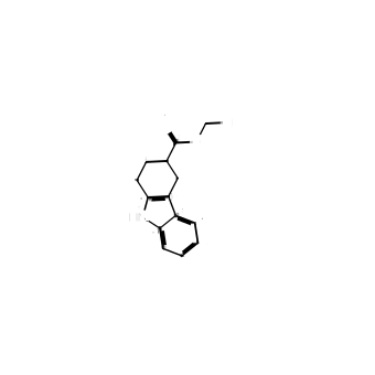 CCOC(=O)C1CCc2[nH]c3ccccc3c2C1